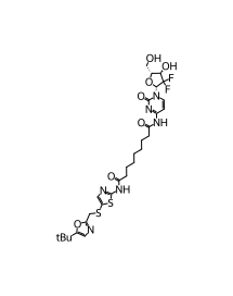 CC(C)(C)c1cnc(CSc2cnc(NC(=O)CCCCCCCC(=O)Nc3ccn([C@@H]4O[C@H](CO)[C@@H](O)C4(F)F)c(=O)n3)s2)o1